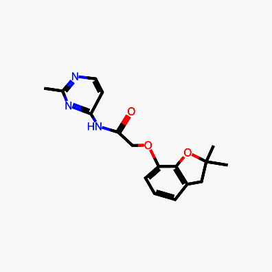 Cc1nccc(NC(=O)COc2cccc3c2OC(C)(C)C3)n1